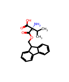 CC(C)[C@](N)(C(=O)O)C(=O)OCC1c2ccccc2-c2ccccc21